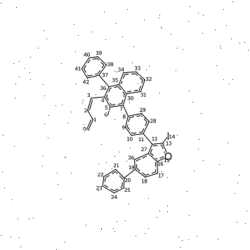 C=C/C=C\c1c(C)c(-c2ccc(-c3c(I)oc4ccc(-c5ccccc5)cc34)cc2)c2ccccc2c1-c1ccccc1